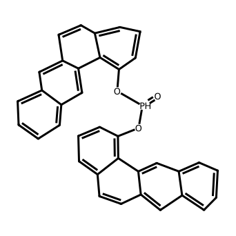 O=[PH](Oc1cccc2ccc3cc4ccccc4cc3c12)Oc1cccc2ccc3cc4ccccc4cc3c12